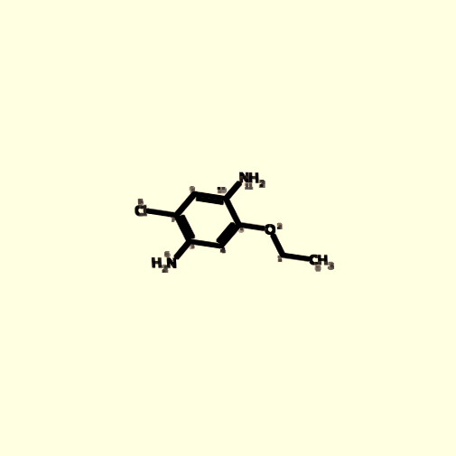 CCOc1cc(N)c(Cl)cc1N